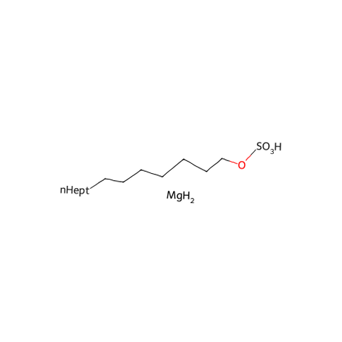 CCCCCCCCCCCCCCOS(=O)(=O)O.[MgH2]